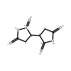 O=C1CC(C2CC(=O)OS2=O)C(=O)O1